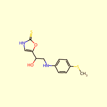 CSc1ccc(NCC(O)c2c[nH]c(=S)o2)cc1